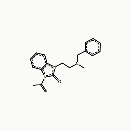 C=C(C)n1c(=O)n(CCN(C)Cc2ccccc2)c2ccccc21